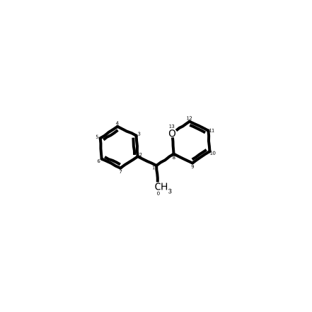 CC(c1ccccc1)C1C=CC=CO1